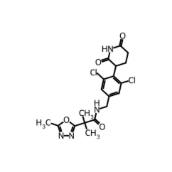 Cc1nnc(C(C)(C)C(=O)NCc2cc(Cl)c(C3CCC(=O)NC3=O)c(Cl)c2)o1